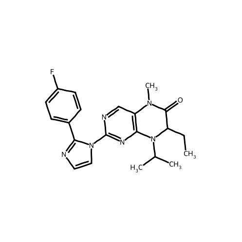 CCC1C(=O)N(C)c2cnc(-n3ccnc3-c3ccc(F)cc3)nc2N1C(C)C